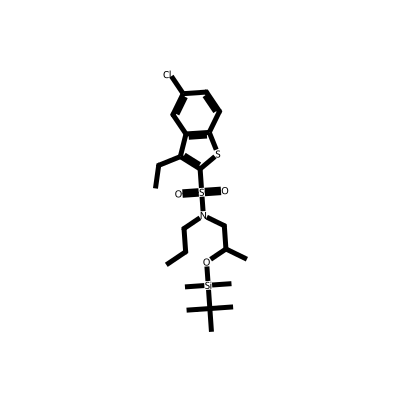 CCCN(CC(C)O[Si](C)(C)C(C)(C)C)S(=O)(=O)c1sc2ccc(Cl)cc2c1CC